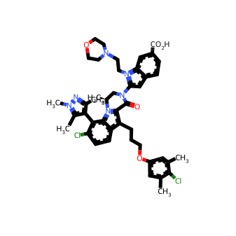 Cc1cc(OCCCc2c3n(c4c(-c5c(C)nn(C)c5C)c(Cl)ccc24)[C@H](C)CN(c2cc4ccc(C(=O)O)cc4n2CCN2CCOCC2)C3=O)cc(C)c1Cl